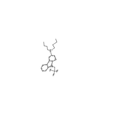 CCCC[S+](CCCC)c1ccc2c(c1)c1ccccc1n2CC(F)(F)F